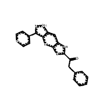 O=C(Cc1ccccc1)c1nc2nc3c(-c4ccncc4)n[nH]c3cc2[nH]1